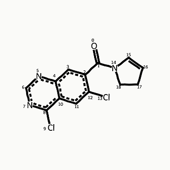 O=C(c1cc2ncnc(Cl)c2cc1Cl)N1C=CCC1